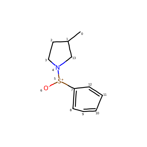 CC1CCN([S+]([O-])c2ccccc2)C1